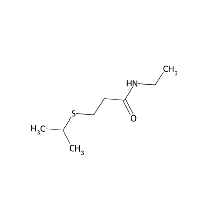 CCNC(=O)CCSC(C)C